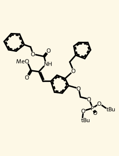 COC(=O)C(=Cc1ccc(OCOP(=O)(OC(C)(C)C)OC(C)(C)C)c(OCc2ccccc2)c1)NC(=O)OCc1ccccc1